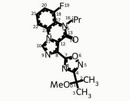 COC(C)(C)c1noc(-c2ncn3c2c(=O)n(C(C)C)c2c(F)cccc23)n1